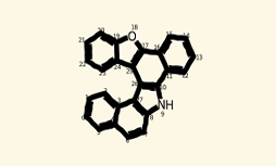 c1ccc2c(c1)ccc1[nH]c3c4ccccc4c4oc5ccccc5c4c3c12